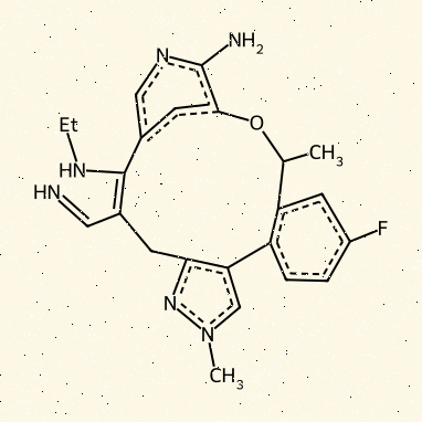 CCN/C1=C(\C=N)Cc2nn(C)cc2-c2ccc(F)cc2C(C)Oc2cc1cnc2N